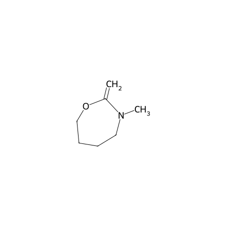 C=C1OCCCCN1C